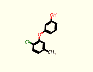 Cc1ccc(Cl)c(Oc2cccc(O)c2)c1